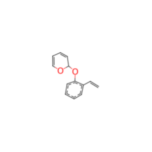 C=Cc1ccccc1OC1C=CC=CO1